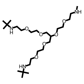 CNCCOCCOC(COCCOCCNC(C)(C)C)COCCOCCNC(C)(C)C